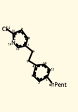 CCCCCc1ccc(CCc2ccc(Cl)nc2)cc1